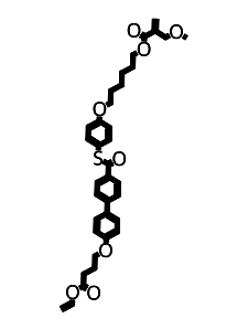 C=COC(=O)CCCOc1ccc(-c2ccc(C(=O)Sc3ccc(OCCCCCCOC(=O)C(=C)COC)cc3)cc2)cc1